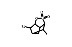 CCC1C2CC3C1OS(=O)(=O)C3C2C